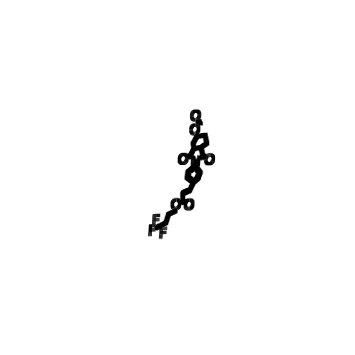 O=COC1CCC2C(=O)N(c3ccc(C=CC(=O)OCCCC(F)(F)F)cc3)C(=O)C2C1